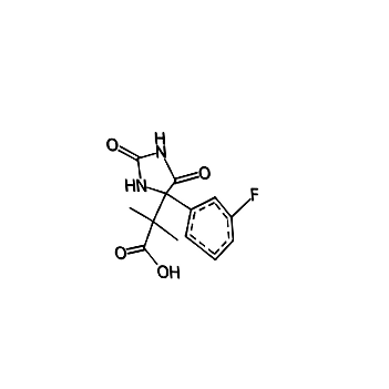 CC(C)(C(=O)O)C1(c2cccc(F)c2)NC(=O)NC1=O